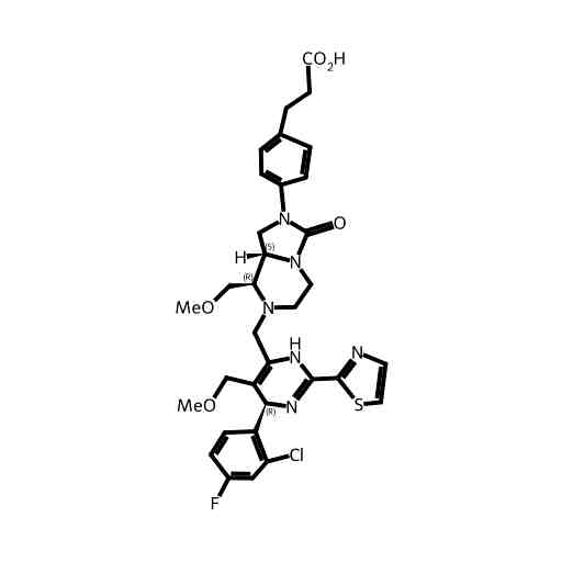 COCC1=C(CN2CCN3C(=O)N(c4ccc(CCC(=O)O)cc4)C[C@H]3[C@@H]2COC)NC(c2nccs2)=N[C@H]1c1ccc(F)cc1Cl